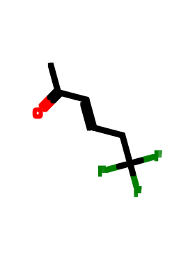 CC(=O)/C=C/CC(F)(F)F